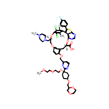 COCCOCCO[C@]1(c2nccc(COc3ccc4cc3C[C@H](C(=O)O)Oc3ncnc5sc(-c6ccc(F)cc6)c(c35)-c3c(C)c(Cl)c(c(Cl)c3C)O[C@H](CN3CCN(C)CC3)CO4)n2)CC[C@@H](OCC2COCCO2)CC1